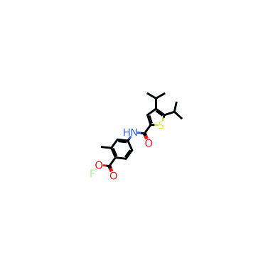 Cc1cc(NC(=O)c2cc(C(C)C)c(C(C)C)s2)ccc1C(=O)OF